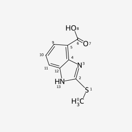 CSc1nc2c(C(=O)O)cccc2[nH]1